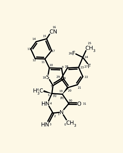 CN1C(=N)N[C@](C)(c2ccc(-c3cccc(C#N)c3)s2)[C@@H](c2ccc(C(C)(F)F)cc2)C1=O